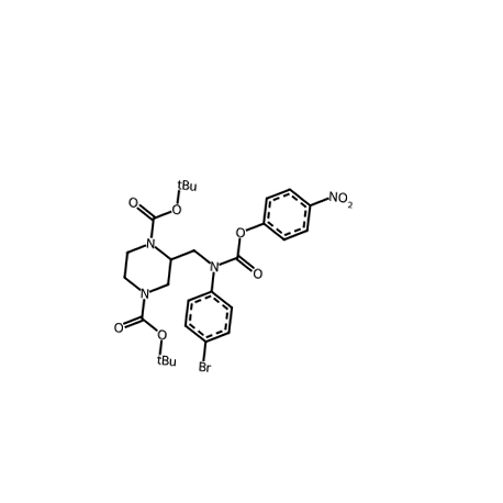 CC(C)(C)OC(=O)N1CCN(C(=O)OC(C)(C)C)C(CN(C(=O)Oc2ccc([N+](=O)[O-])cc2)c2ccc(Br)cc2)C1